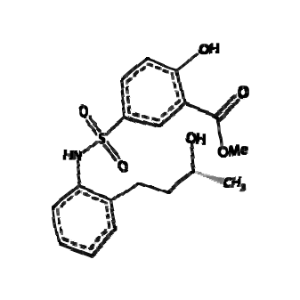 COC(=O)c1cc(S(=O)(=O)Nc2ccccc2CC[C@@H](C)O)ccc1O